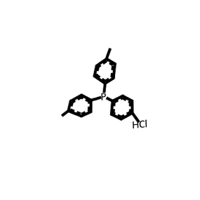 Cc1ccc(P(c2ccc(C)cc2)c2ccc(C)cc2)cc1.Cl